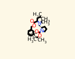 CC(C)CC(C(=O)OCc1ccccc1)N(C)C[C@@H]1CCCN1C(=O)OC(C)(C)C